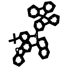 CC(C)(C)c1ccc(N(c2ccc3c(c2)-c2ccccc2C32c3ccccc3-c3ccccc32)c2ccc3ccccc3c2-c2ccc3oc4ccccc4c3c2)cc1